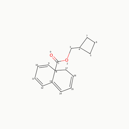 O=C(OCC1CCC1)C12C=CC=CC1=CC=CC2